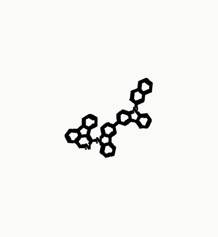 c1ccc2c(c1)-c1cccc3cnc(-n4c5ccccc5c5cc(-c6ccc7c(c6)c6ccccc6n7-c6ccc7ccccc7c6)ccc54)c-2c13